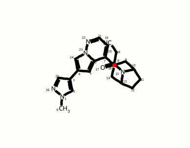 Cn1cc(-c2cc3c(N4CC5CCC(C4)N5C(=O)CC#N)ccnn3c2)cn1